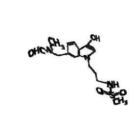 CN(C=O)Cc1ccc2c(O)cn(CCCNS(C)(=O)=O)c2c1